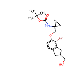 CC(C)(C)OC(=O)NC1(COc2ccc3c(c2Br)CC(CO)C3)CC1